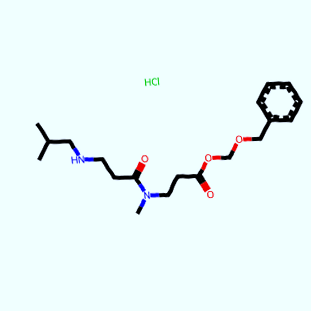 CC(C)CNCCC(=O)N(C)CCC(=O)OCOCc1ccccc1.Cl